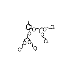 COCCOCC(COCCOC)COc1ccc(C)cc1OCC(COCCOC)COCCOC